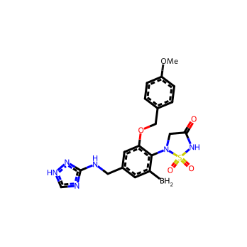 Bc1cc(CNc2nc[nH]n2)cc(OCc2ccc(OC)cc2)c1N1CC(=O)NS1(=O)=O